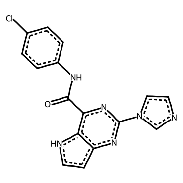 O=C(Nc1ccc(Cl)cc1)c1nc(-n2ccnc2)nc2cc[nH]c12